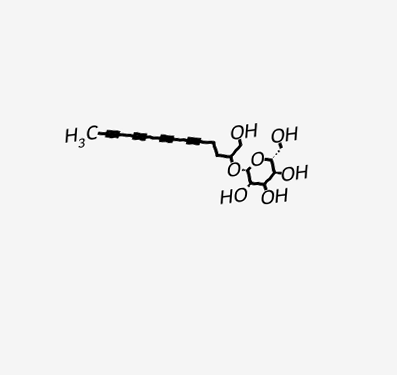 CC#CC#CC#CC#CCCC(CO)O[C@@H]1O[C@H](CO)[C@@H](O)C(O)[C@H]1O